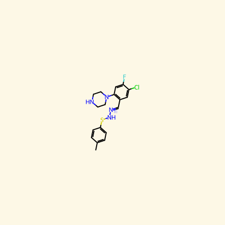 Cc1ccc(SN/N=C/c2cc(Cl)c(F)cc2N2CCNCC2)cc1